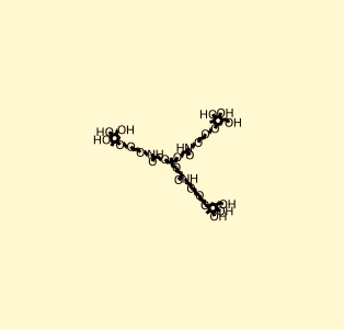 CC1C(OCCOCCOCCNC(=O)CCOCC(C)(COCCC(=O)NCCOCCOCCOC2CC(CO)C(O)C(O)C2C)COCCC(=O)NCCOCCOCCOC2CC(CO)C(O)C(O)C2C)CC(CO)C(O)C1O